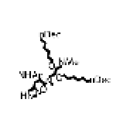 CCCCCCCCCCCCCCCCOC(CNC)C(CN(C)C(=O)C(Cc1c[nH]cn1)NC(C)=O)OCCCCCCCCCCCCCCCC